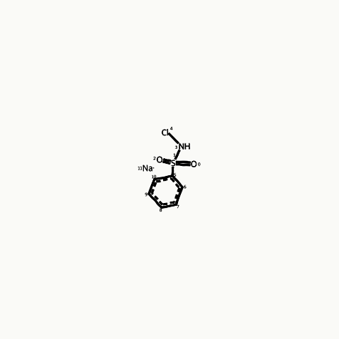 O=S(=O)(NCl)c1ccccc1.[Na]